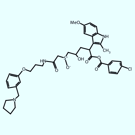 COc1ccc2[nH]c(C)c(C(CC(O)C[S+]([O-])CC(=O)NCCCOc3cccc(CN4CCCC4)c3)C(=O)OC(=O)c3ccc(Cl)cc3)c2c1